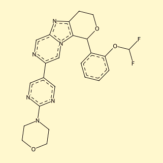 FC(F)Oc1ccccc1C1OCCc2nc3cnc(-c4cnc(N5CCOCC5)nc4)cn3c21